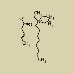 CC=CCC(=O)[O-].CCCCCCCC[N+](CC)(CC)CC